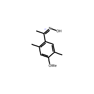 COc1cc(C)c(/C(C)=N\O)cc1C